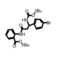 CCCCOC(=O)c1ccccc1NC(=O)CC(NC(=O)OC(C)(C)C)c1ccc(Br)cc1